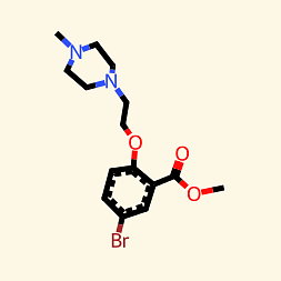 COC(=O)c1cc(Br)ccc1OCCN1CCN(C)CC1